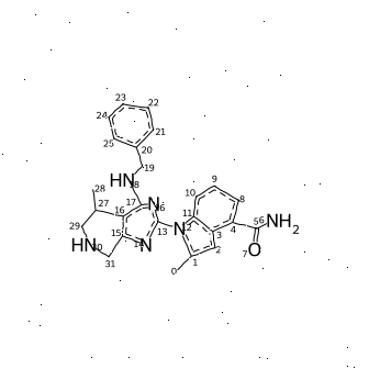 Cc1cc2c(C(N)=O)cccc2n1-c1nc2c(c(NCc3ccccc3)n1)C(C)CNC2